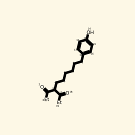 CCC(=O)C(CCCCCCc1ccc(O)cc1)C(=O)CC